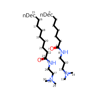 CCCCCCCCCCCCCCCC(=O)NCCCN(C)C.CCCCCCCCCCCCCCCCCC(=O)NCCN(C)C